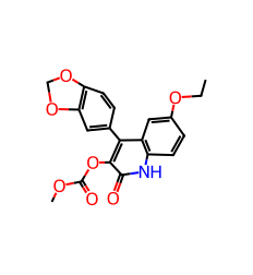 CCOc1ccc2[nH]c(=O)c(OC(=O)OC)c(-c3ccc4c(c3)OCO4)c2c1